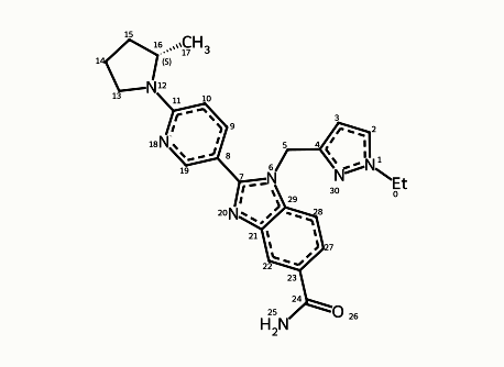 CCn1ccc(Cn2c(-c3ccc(N4CCC[C@@H]4C)nc3)nc3cc(C(N)=O)ccc32)n1